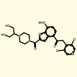 COc1ccc(C(=O)Cc2c(Cl)cncc2Cl)c2cc(C(=O)N3CCN(C(CO)CO)CC3)oc12